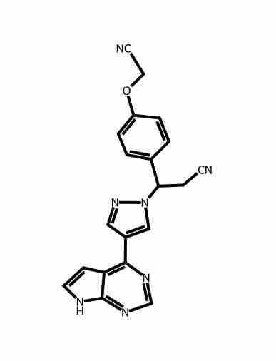 N#CCOc1ccc(C(CC#N)n2cc(-c3ncnc4[nH]ccc34)cn2)cc1